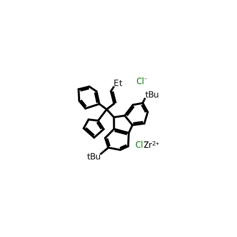 CCC=CC(C1=CC=CC1)(c1ccccc1)C1c2cc(C(C)(C)C)ccc2-c2ccc(C(C)(C)C)cc21.[Cl-].[Cl-].[Zr+2]